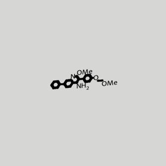 COCCOc1ccc(-c2c(OC)nc3cc(-c4ccccc4)ccc3c2N)cc1